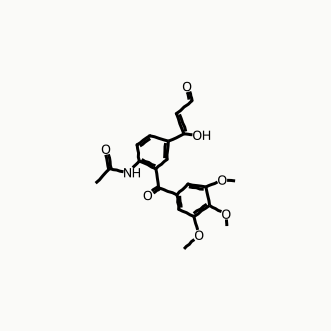 COc1cc(C(=O)c2cc(/C(O)=C/C=O)ccc2NC(C)=O)cc(OC)c1OC